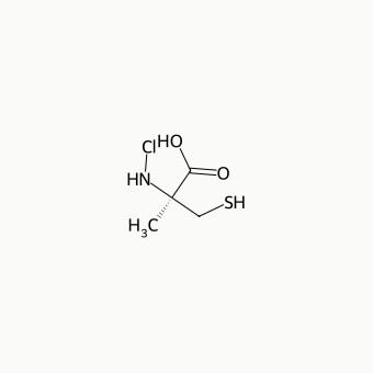 C[C@](CS)(NCl)C(=O)O